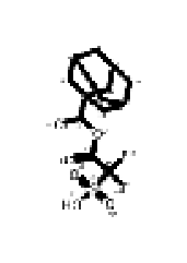 O=C(OC(O)C12CC3CC(CC(C3)C1)C2)C(F)(F)S(=O)(=O)O